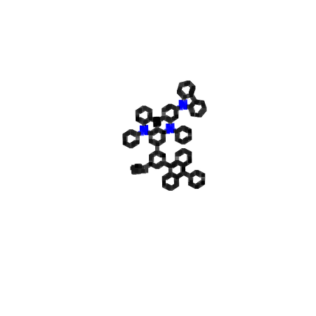 CC(C)(C)c1cc(-c2cc3c4c(c2)N(c2ccccc2)c2cc(-n5c6ccccc6c6ccccc65)ccc2B4c2ccccc2N3c2ccccc2)cc(-c2c3ccccc3c(-c3ccccc3)c3ccccc23)c1